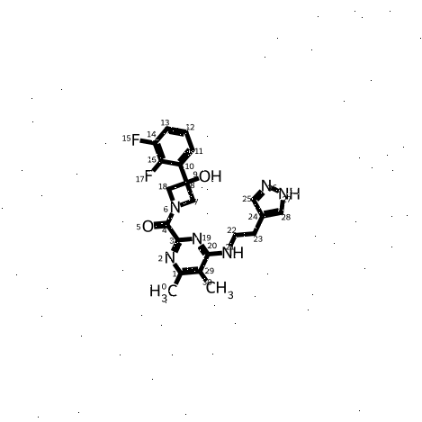 Cc1nc(C(=O)N2CC(O)(c3cccc(F)c3F)C2)nc(NCCc2cn[nH]c2)c1C